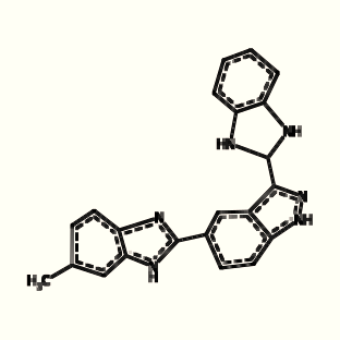 Cc1ccc2nc(-c3ccc4[nH]nc(C5Nc6ccccc6N5)c4c3)[nH]c2c1